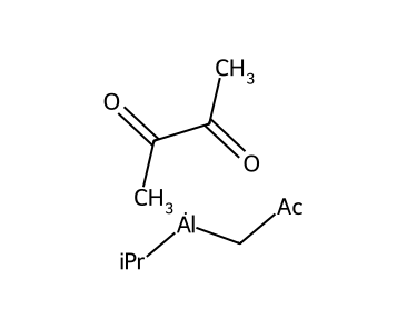 CC(=O)C(C)=O.CC(=O)[CH2][Al][CH](C)C